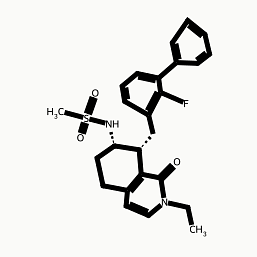 CCn1ccc2c(c1=O)[C@@H](Cc1cccc(-c3ccccc3)c1F)[C@@H](NS(C)(=O)=O)CC2